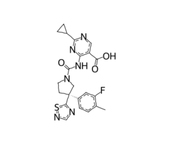 Cc1ccc([C@]2(c3ncns3)CCN(C(=O)Nc3nc(C4CC4)ncc3C(=O)O)C2)cc1F